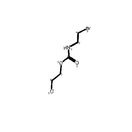 O=C(NCCBr)OCCCl